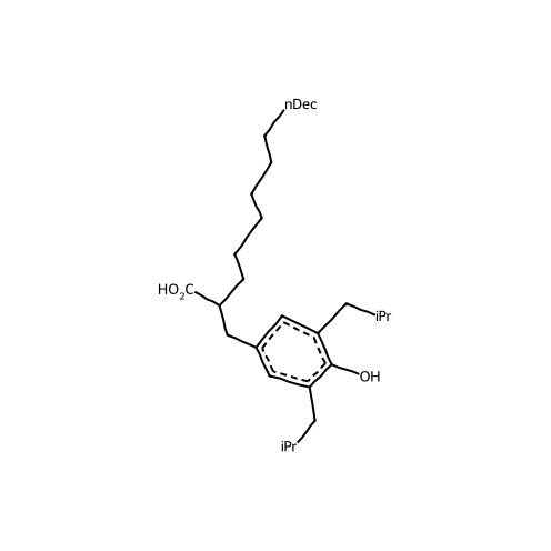 CCCCCCCCCCCCCCCCC(Cc1cc(CC(C)C)c(O)c(CC(C)C)c1)C(=O)O